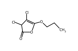 CCCOC1=C(Cl)C(Cl)C(=O)O1